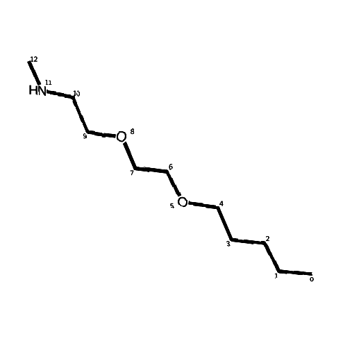 CCCCCOCCOCCNC